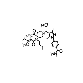 CCCCN1C(=O)[C@@H]([C@H](O)C(C)C)NC(=O)C12CCN(Cc1c(C)nn(-c3ccc(C(=O)NC)cc3)c1C)CC2.Cl